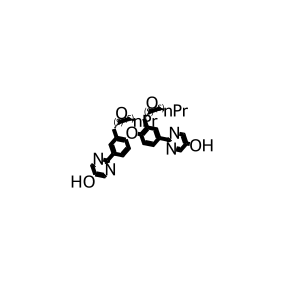 CCC[C@@H]1O[C@H]1Cc1cc(-c2ncc(O)cn2)ccc1Oc1ccc(-c2ncc(O)cn2)cc1C[C@@H]1O[C@H]1CCC